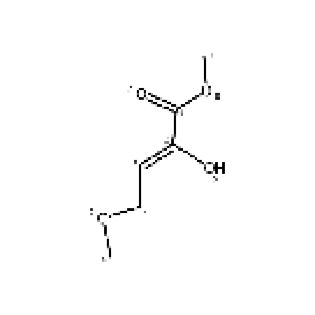 COCC=C(O)C(=O)OC